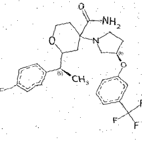 C[C@@H](c1ccc(F)cc1)C1CC(C(N)=O)(N2CC[C@@H](Oc3cccc(C(F)(F)F)c3)C2)CCO1